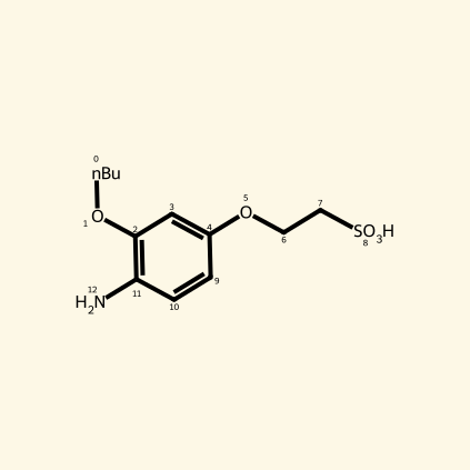 CCCCOc1cc(OCCS(=O)(=O)O)ccc1N